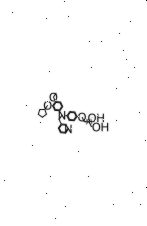 COc1ccc(N(Cc2cccnc2)c2ccc(OC[C@H](O)CO)cc2)cc1OC1CCCC1